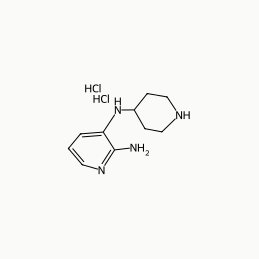 Cl.Cl.Nc1ncccc1NC1CCNCC1